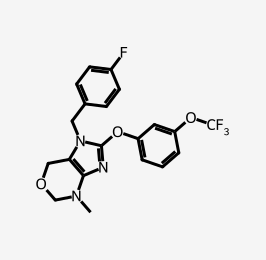 CN1COCc2c1nc(Oc1cccc(OC(F)(F)F)c1)n2Cc1ccc(F)cc1